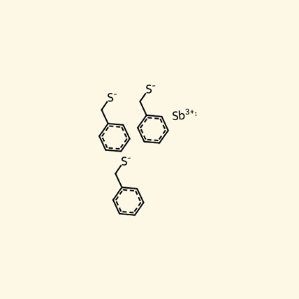 [S-]Cc1ccccc1.[S-]Cc1ccccc1.[S-]Cc1ccccc1.[Sb+3]